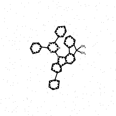 CC1(C)c2ccccc2-c2c1ccc1c3cc(-c4ccccc4)ccc3n(-c3nc(-c4ccccc4)nc(-c4ccccc4)n3)c21